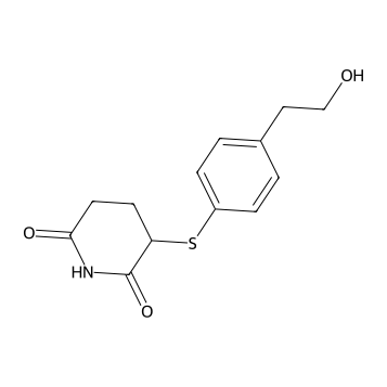 O=C1CCC(Sc2ccc(CCO)cc2)C(=O)N1